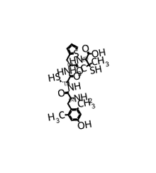 Cc1cc(O)cc(C)c1C[C@H](N)C(=O)N[C@H](CS)C(=O)N[C@@H](Cc1cccs1)C(=O)N[C@@H](C(=O)O)C(C)(C)S